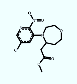 COC(=O)CC1CCOCCN1c1cc(Cl)cnc1[N+](=O)[O-]